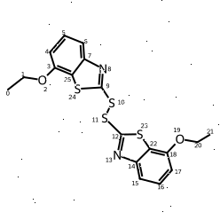 CCOc1cccc2nc(SSc3nc4cccc(OCC)c4s3)sc12